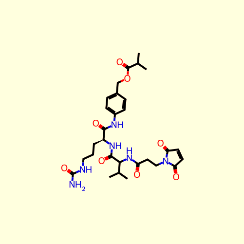 CC(C)C(=O)OCc1ccc(NC(=O)[C@H](CCCNC(N)=O)NC(=O)C(NC(=O)CCN2C(=O)C=CC2=O)C(C)C)cc1